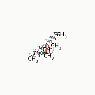 C=CC(=O)OC(C)(C)C.CCCCCCCCCCCCCCC